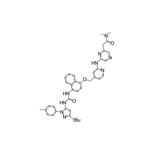 Cc1ccc(-n2nc(C(C)(C)C)cc2NC(=O)Nc2ccc(OCc3ccnc(Nc4cncc(CC(=O)N(C)C)n4)c3)c3ccccc23)cc1